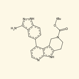 CC(C)(C)OC(=O)N1CCc2[nH]c3nccc(-c4ccc5[nH]nc(N)c5c4)c3c2C1